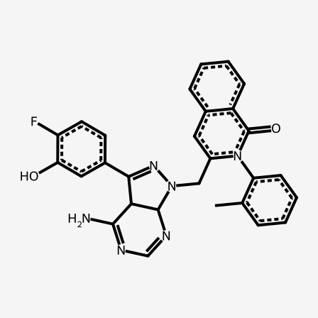 Cc1ccccc1-n1c(CN2N=C(c3ccc(F)c(O)c3)C3C(N)=NC=NC32)cc2ccccc2c1=O